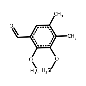 COc1c(C=O)cc(C)c(C)c1O[SiH3]